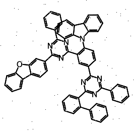 c1ccc(-c2nc(-c3ccc(-n4c5ccccc5c5ccccc54)c(-c4nc(-c5ccccc5)nc(-c5ccc6c(c5)oc5ccccc56)n4)c3)nc(-c3ccccc3-c3ccccc3)n2)cc1